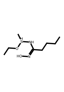 CCCCC(=NO)N[SiH](C)OCC